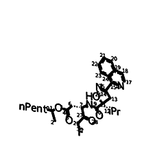 CCCCCC(C)OC(=O)C[C@H](NC(=O)[C@]1(C(C)C)CC(c2nccc3ccccc23)=NO1)C(=O)CF